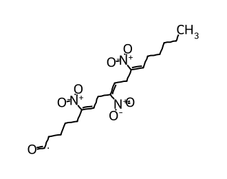 CCCCCC=C(CC=C(CC=C(CCCC[C]=O)[N+](=O)[O-])[N+](=O)[O-])[N+](=O)[O-]